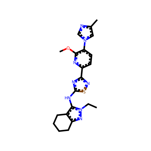 CCn1nc2c(c1Nc1nc(-c3ccc(-n4cnc(C)c4)c(OC)n3)ns1)CCCC2